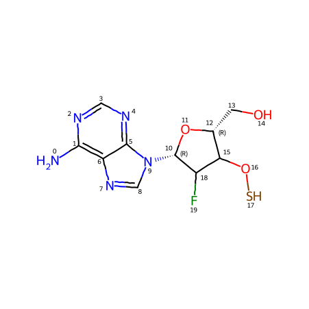 Nc1ncnc2c1ncn2[C@@H]1O[C@H](CO)C(OS)C1F